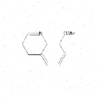 COc1cccc2c1N=CCC2